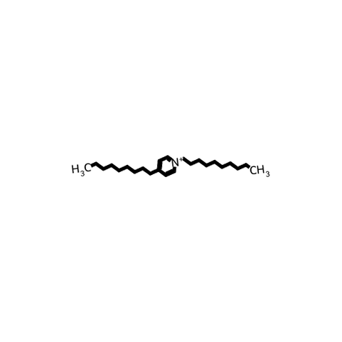 CCCCCCCCCC[n+]1ccc(CCCCCCCCC)cc1